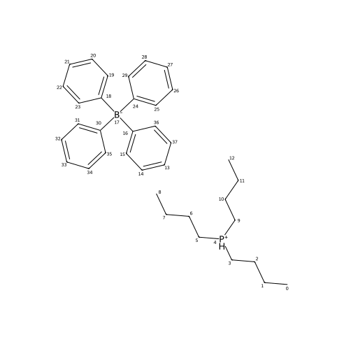 CCCC[PH+](CCCC)CCCC.c1ccc([B-](c2ccccc2)(c2ccccc2)c2ccccc2)cc1